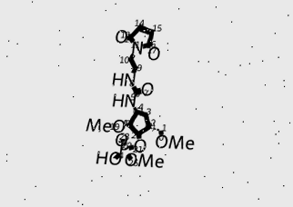 COC[C@H]1C[C@H](NC(=O)NCCN2C(=O)C=CC2=O)[C@@H](OC)C1OP(=O)(O)OC